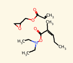 C=CC(=O)OCC1CO1.CCC=C(C)C(=O)ON(CC)CC